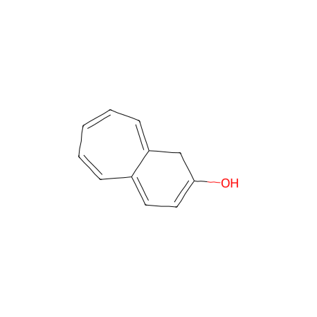 OC1=CC=C2C=CC=CC=C2C1